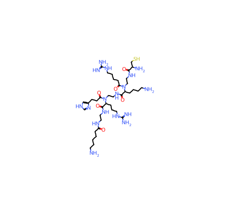 N=C(N)NCCCCC(=O)N(CCNC(=O)C(N)CS)C(CCCCN)C(=O)NCCN(C(=O)CCc1c[nH]cn1)C(CCCNC(=N)N)C(=O)NCCNC(=O)CCCCCN